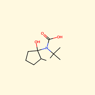 CC1CCCC1(O)N(C(=O)O)C(C)(C)C